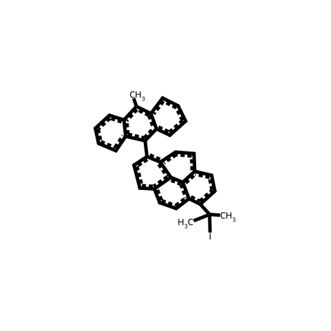 Cc1c2ccccc2c(-c2ccc3ccc4c(C(C)(C)I)ccc5ccc2c3c54)c2ccccc12